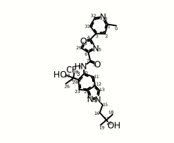 Cc1cc(-c2nc(C(=O)Nc3cc4cn(CCC(C)(C)O)nc4cc3C(C)(O)C(F)(F)F)co2)ccn1